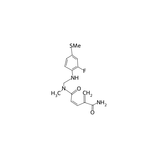 C=C(/C=C\C(=O)N(C)CNc1ccc(SC)cc1F)C(N)=O